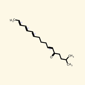 C/C=C/C=C/C=C/CCC/C=C/C(=O)CCC(C)C